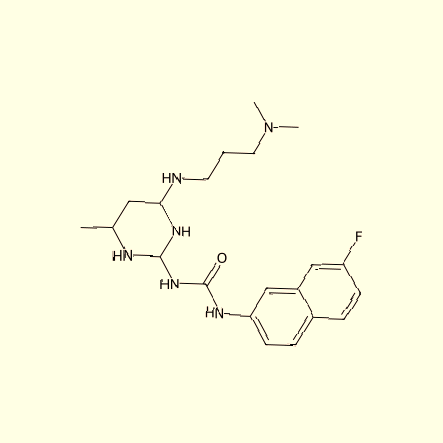 CC1CC(NCCCN(C)C)NC(NC(=O)Nc2ccc3ccc(F)cc3c2)N1